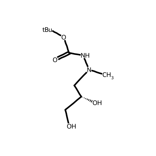 CN(C[C@H](O)CO)NC(=O)OC(C)(C)C